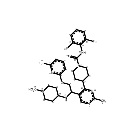 Cc1ncc(C(COc2cccc(C(F)(F)F)n2)NC2CCN(C(=O)O)CC2)c(C2CCN(C(=O)Nc3c(F)cccc3F)CC2)n1